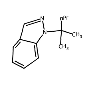 CCCC(C)(C)n1ncc2ccccc21